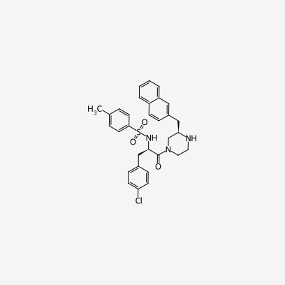 Cc1ccc(S(=O)(=O)N[C@H](Cc2ccc(Cl)cc2)C(=O)N2CCN[C@H](Cc3ccc4ccccc4c3)C2)cc1